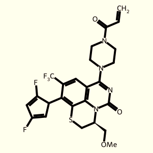 C=CC(=O)N1CCN(c2nc(=O)n3c4c(c(C5C=C(F)C=C5F)c(C(F)(F)F)cc24)SC[C@@H]3COC)CC1